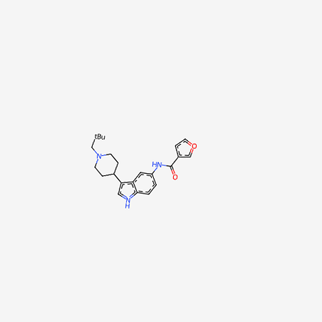 CC(C)(C)CN1CCC(c2c[nH]c3ccc(NC(=O)c4ccoc4)cc23)CC1